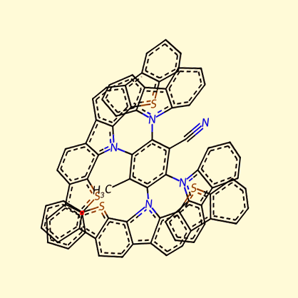 Cc1c(-n2c3c(ccc4c5ccccc5sc43)c3ccc4c5ccccc5sc4c32)c(-n2c3ccccc3c3ccccc32)c(C#N)c(-n2c3ccccc3c3ccccc32)c1-n1c2c(ccc3c4ccccc4sc32)c2ccc3c4ccccc4sc3c21